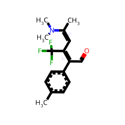 C/C(=C/C(=C(\C=O)c1ccc(C)cc1)C(F)(F)F)N(C)C